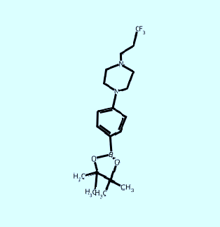 CC1(C)OB(c2ccc(N3CCN(CCC(F)(F)F)CC3)cc2)OC1(C)C